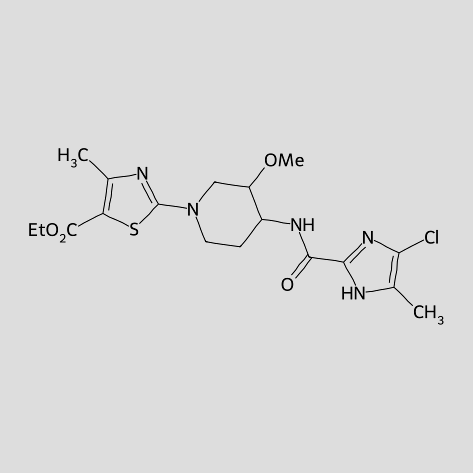 CCOC(=O)c1sc(N2CCC(NC(=O)c3nc(Cl)c(C)[nH]3)C(OC)C2)nc1C